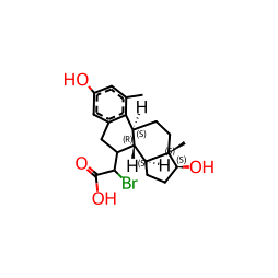 Cc1cc(O)cc2c1[C@H]1CC[C@]3(C)[C@@H](O)CC[C@H]3[C@@H]1C(C(Br)C(=O)O)C2